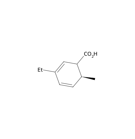 CCC1=CC(C(=O)O)[C@@H](C)C=C1